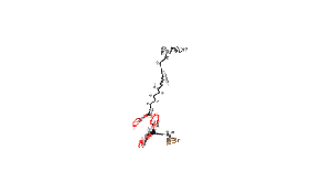 CCCCCCCCCCCCCCCCCC(=O)OC(=O)CBr